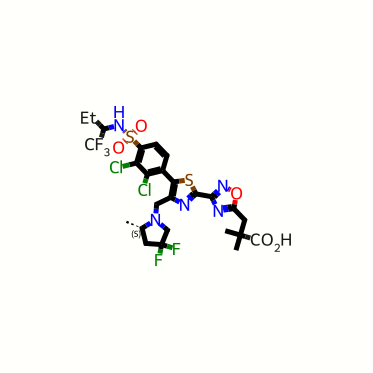 CCC(NS(=O)(=O)c1ccc(-c2sc(-c3noc(CC(C)(C)C(=O)O)n3)nc2CN2CC(F)(F)C[C@@H]2C)c(Cl)c1Cl)C(F)(F)F